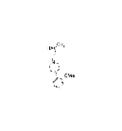 COc1ccccc1N1CCN(CC[AsH]C)CC1